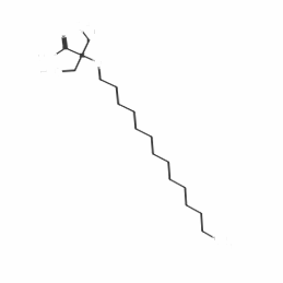 CCCCCCCCCCCCCCOC(CC)(CC)C(=O)O